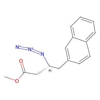 COC(=O)C[C@@H](Cc1ccc2ccccc2c1)N=[N+]=[N-]